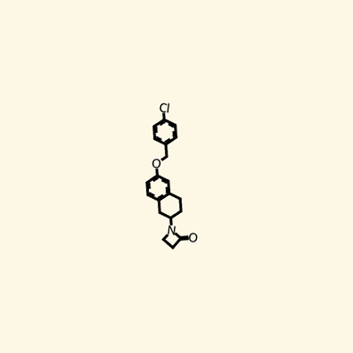 O=C1CCN1C1CCc2cc(OCc3ccc(Cl)cc3)ccc2C1